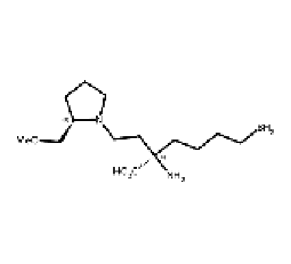 BCCCC[C@@](N)(CCN1CCC[C@@H]1COC)C(=O)O